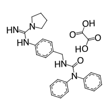 N=C(Nc1ccc(CNC(=O)N(c2ccccc2)c2ccccc2)cc1)N1CCCC1.O=C(O)C(=O)O